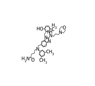 Cc1cc(C)cc(N(CCCC(N)=O)Cc2ccc3nc(NCCCN4CCOCC4)n(Cc4nc(C)ccc4O)c3c2)c1